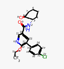 O=C(N[C@H]1CCCCC1=O)c1cnc(OCC(F)(F)F)c(-c2ccc(Cl)cc2)c1